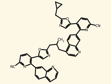 CC(Cc1ncc(-c2ccc(C#N)nc2-c2ccc3cccnc3c2)o1)Cc1ccnc2cc(-c3nc(C#N)ccc3-c3cnc(CC4CC4)o3)ccc12